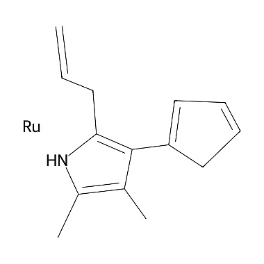 C=CCc1[nH]c(C)c(C)c1C1=CC=CC1.[Ru]